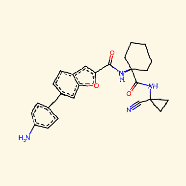 N#CC1(NC(=O)C2(NC(=O)c3cc4ccc(-c5ccc(N)cc5)cc4o3)CCCCC2)CC1